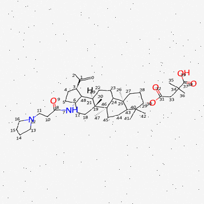 C=C(C)[C@@H]1CC[C@]2(NC(=O)CCN3CCCC3)CC[C@]3(C)[C@H](CCC4[C@@]5(C)CC[C@H](OC(=O)CC(C)(C)C(=O)O)C(C)(C)C5CC[C@]43C)C12